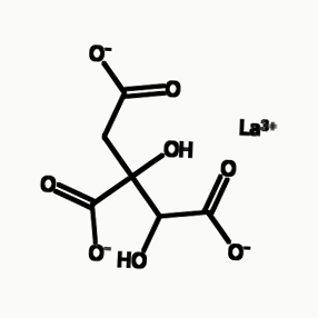 O=C([O-])CC(O)(C(=O)[O-])C(O)C(=O)[O-].[La+3]